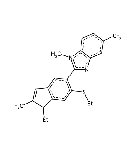 CCSc1cc2c(cc1-c1nc3cc(C(F)(F)F)ccc3n1C)C=C(C(F)(F)F)C2CC